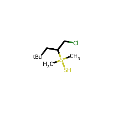 CC(C)(C)CC(CCl)S(C)(C)S